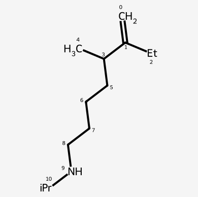 C=C(CC)C(C)CCCCNC(C)C